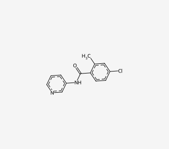 Cc1cc(Cl)ccc1C(=O)Nc1cccnc1